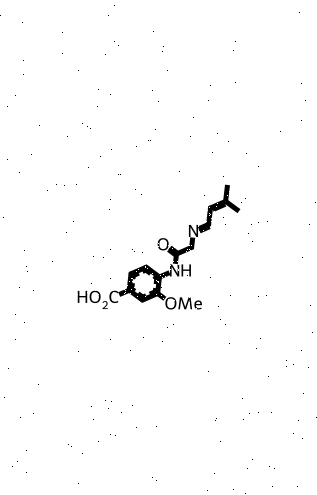 COc1cc(C(=O)O)ccc1NC(=O)CN=CC=C(C)C